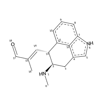 CN[C@@H]1Cc2c[nH]c3cccc(c23)[C@H]1/C=C(\C)C=O